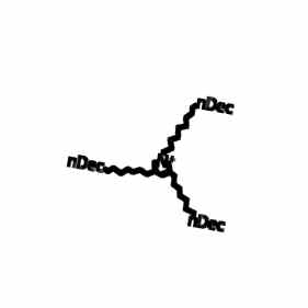 CCCCCCCCCCCCCCCCCCC[n+]1cc(CCCCCCCCCCCCCCCCC)cc(CCCCCCCCCCCCCCCCC)c1